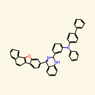 c1ccc(-c2ccc(N(c3ccccc3)c3cccc(C4N=C(c5ccc6c(c5)oc5c7ccccc7ccc65)c5ccccc5N4)c3)cc2)cc1